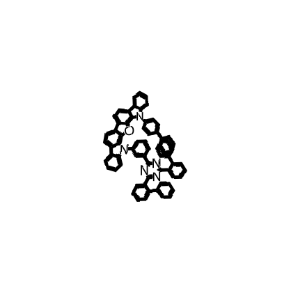 c1ccc(-c2ccc(-n3c4ccccc4c4ccc5c6ccc7c8ccccc8n(-c8cccc(-c9nc(-c%10ccccc%10-c%10ccccc%10)nc(-c%10ccccc%10-c%10ccccc%10)n9)c8)c7c6oc5c43)cc2)cc1